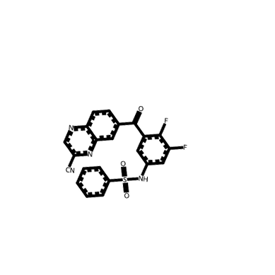 N#Cc1cnc2ccc(C(=O)c3cc(NS(=O)(=O)c4ccccc4)cc(F)c3F)cc2n1